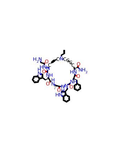 C=CCN1CC#CCN(NC(=O)CN)C(=O)N[C@H](Cc2c[nH]c3ccccc23)C(=O)N[C@@H](C)C(=O)NN(Cc2c[nH]c3ccccc23)C(=O)N[C@H](Cc2ccccc2)C(=O)N[C@H](C(N)=O)CCCC1